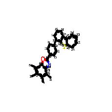 Cc1c(C)c(C)c2oc(-c3ccc(-c4cccc5c4sc4ccccc45)cc3)nc2c1C